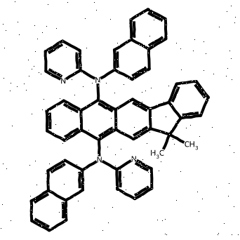 CC1(C)c2ccccc2-c2cc3c(N(c4ccc5ccccc5c4)c4ccccn4)c4ccccc4c(N(c4ccc5ccccc5c4)c4ccccn4)c3cc21